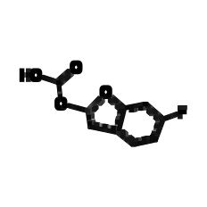 O=C(O)Oc1cc2ccc(F)cc2o1